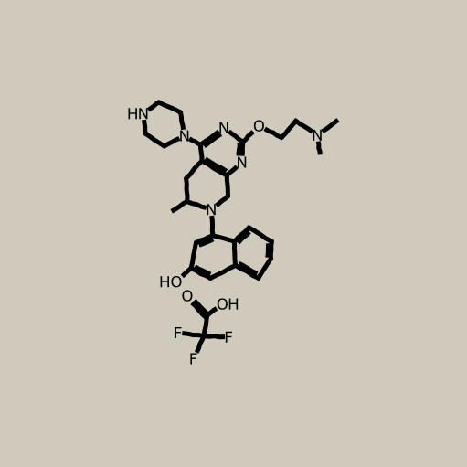 CC1Cc2c(nc(OCCN(C)C)nc2N2CCNCC2)CN1c1cc(O)cc2ccccc12.O=C(O)C(F)(F)F